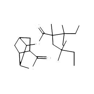 CCC(C)(C)CC(C)(C(=O)OC1C2CC3C(=O)OC1C3C2)C(C)(C)CC